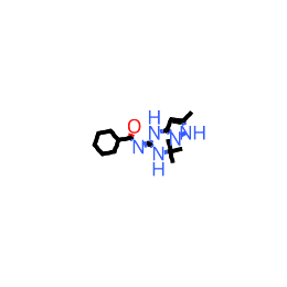 Cc1cc(N/C(=N\C(=O)C2CCCCC2)NC(C)(C)C)n[nH]1